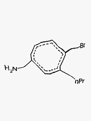 CCCc1cc(N)ccc1Br